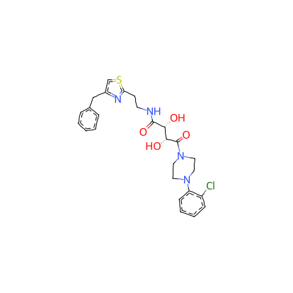 O=C(NCCc1nc(Cc2ccccc2)cs1)[C@H](O)[C@@H](O)C(=O)N1CCN(c2ccccc2Cl)CC1